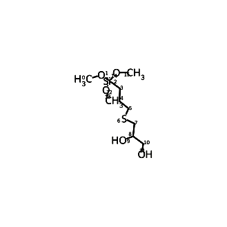 CO[Si](CCCSCC(O)CO)(OC)OC